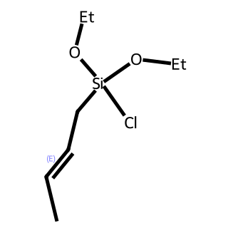 C/C=C/C[Si](Cl)(OCC)OCC